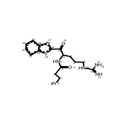 CC(C)CCC(=O)NC(CCCNC(=N)N)C(=O)c1nc2ccccc2s1